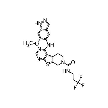 COc1cc2[nH]ncc2cc1Nc1ncnc2sc3c(c12)CCN(C(=O)NCCC(F)(F)F)C3